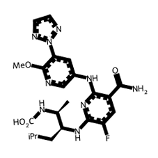 COc1ncc(Nc2nc(N[C@@H](CC(C)C)[C@H](C)NC(=O)O)c(F)cc2C(N)=O)cc1-n1nccn1